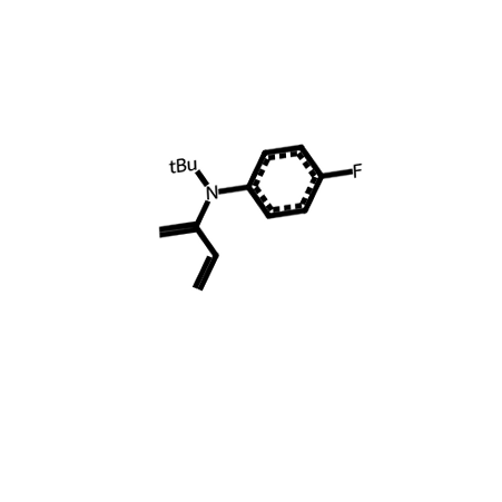 C=CC(=C)N(c1ccc(F)cc1)C(C)(C)C